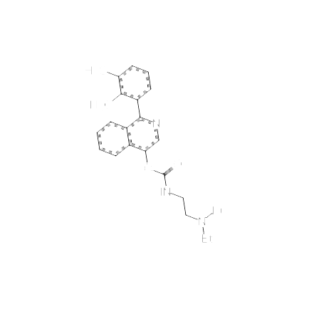 CCN(CC)CCNC(=O)Oc1cnc(-c2cccc(C)c2C)c2ccccc12